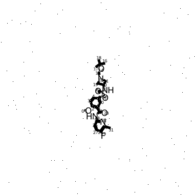 COc1ccc(S(=O)(=O)NC2CN(COC(C)(C)C)C2)cc1C(=O)Nc1ccc(F)c(C)n1